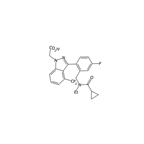 CCN(Cc1cc(F)ccc1-c1nn(CC(=O)O)c2cccc(C(F)(F)F)c12)C(=O)C1CC1